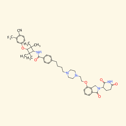 CC1(C)C(NC(=O)c2ccc(CCCCN3CCN(CCOc4cccc5c4CN(C4CCC(=O)NC4=O)C5=O)CC3)cc2)C(C)(C)C1Oc1ccc(C#N)c(C(F)(F)F)c1